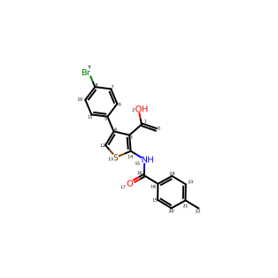 C=C(O)c1c(-c2ccc(Br)cc2)csc1NC(=O)c1ccc(C)cc1